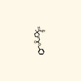 CC(C)N[C@@]1(C)CCN(CC(=O)OCc2ccccc2)C1